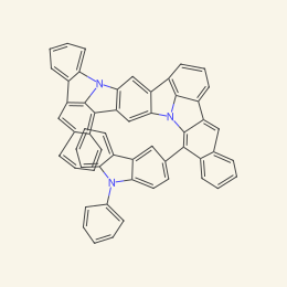 c1ccc(-n2c3ccccc3c3cc(-c4c5ccccc5cc5c6cccc7c8cc9c(cc8n(c45)c76)c4c5ccccc5cc5c6ccccc6n9c54)ccc32)cc1